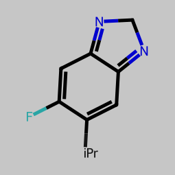 CC(C)c1cc2c(cc1F)=NCN=2